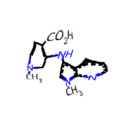 CN1C=CC(C(=O)O)=C(Nc2cn(C)c3ncccc23)C1